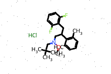 CON(CC(Cc1c(F)cccc1F)c1c(C)cccc1C)CC(C)(C)C.Cl